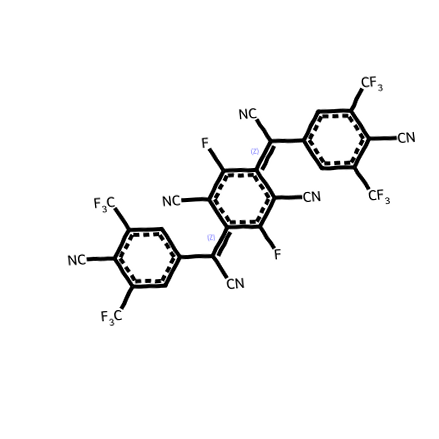 N#C/C(c1cc(C(F)(F)F)c(C#N)c(C(F)(F)F)c1)=c1\c(F)c(C#N)/c(=C(/C#N)c2cc(C(F)(F)F)c(C#N)c(C(F)(F)F)c2)c(F)c1C#N